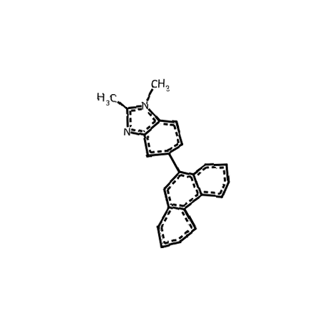 Cc1nc2cc(-c3cc4ccccc4c4ccccc34)ccc2n1C